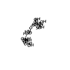 O=C(O)CC[C@H](NC(=O)N[C@@H](CCCCNC(=O)NCc1ccc(CC(=O)C[C@@H](CC(=O)O)C(=O)N[C@@H](CC(=O)O)C(=O)N[C@@H](CS)C(=O)O)cc1)C(=O)O)C(=O)O